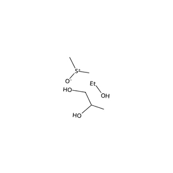 CC(O)CO.CCO.C[S+](C)[O-]